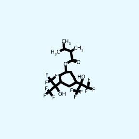 CC(C)C(C)C(=O)OC1CC(C(O)(C(F)(F)F)C(F)(F)F)CC(C(O)(C(F)(F)F)C(F)(F)F)C1